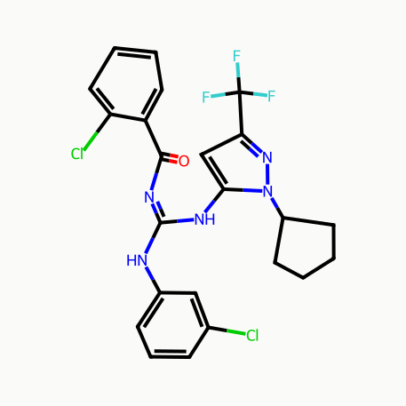 O=C(/N=C(/Nc1cccc(Cl)c1)Nc1cc(C(F)(F)F)nn1C1CCCC1)c1ccccc1Cl